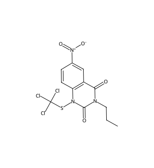 CCCn1c(=O)c2cc([N+](=O)[O-])ccc2n(SC(Cl)(Cl)Cl)c1=O